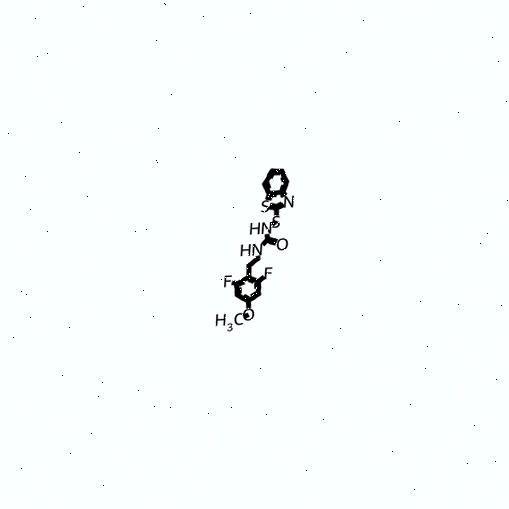 COc1cc(F)c(CCNC(=O)NSc2nc3ccccc3s2)c(F)c1